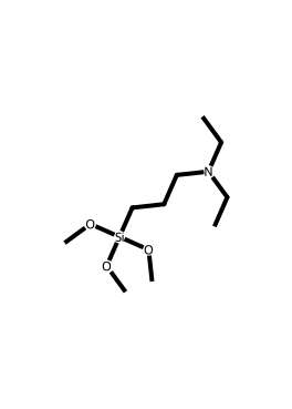 CCN(CC)CCC[Si](OC)(OC)OC